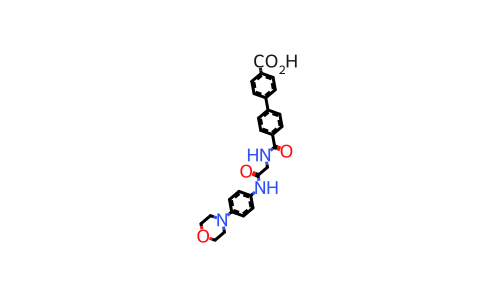 O=C(CNC(=O)c1ccc(-c2ccc(C(=O)O)cc2)cc1)Nc1ccc(N2CCOCC2)cc1